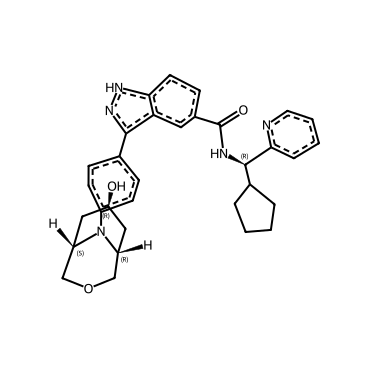 O=C(N[C@@H](c1ccccn1)C1CCCC1)c1ccc2[nH]nc(-c3ccc(N4[C@@H]5COC[C@H]4C[C@H](O)C5)cc3)c2c1